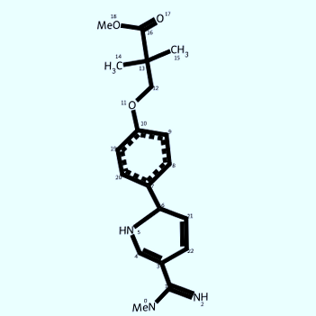 CNC(=N)C1=CNC(c2ccc(OCC(C)(C)C(=O)OC)cc2)C=C1